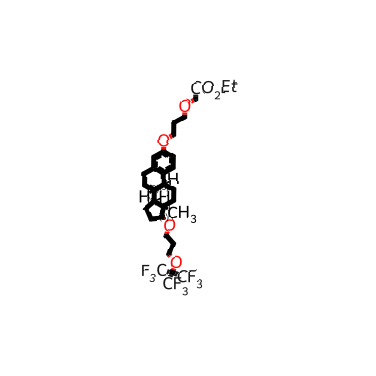 CCOC(=O)COCCCOc1ccc2c(c1)CC[C@@H]1[C@@H]2CC[C@]2(C)[C@@H](OCCCOC(C(F)(F)F)(C(F)(F)F)C(F)(F)F)CC[C@@H]12